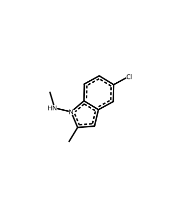 CNn1c(C)cc2cc(Cl)ccc21